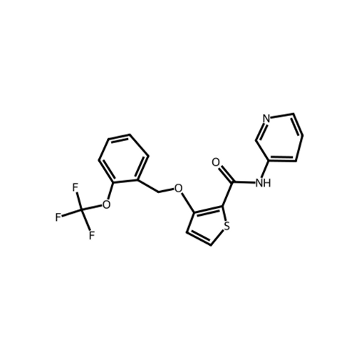 O=C(Nc1cccnc1)c1sccc1OCc1ccccc1OC(F)(F)F